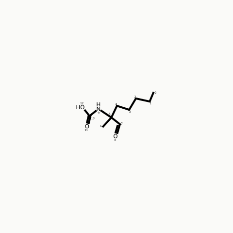 CCCCCC(C)(C=O)NC(=O)O